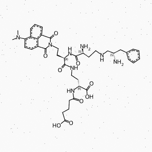 CN(C)c1ccc2c3c(cccc13)C(=O)N(CC[C@@H](NC(=O)[C@@H](N)CCNC[C@@H](N)Cc1ccccc1)C(=O)NCC[C@@H](NC(=O)CCCC(=O)O)C(=O)O)C2=O